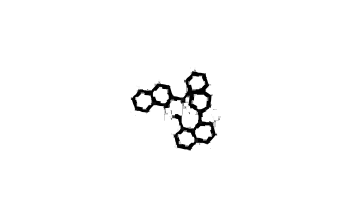 c1ccc(-c2nc(-c3cccc4ccc5oc6ccccc6c5c34)nc3c2ccc2ccccc23)cc1